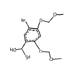 COCOc1cc(OCOC)c(C(O)S)cc1Br